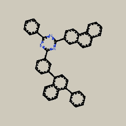 c1ccc(-c2nc(-c3cccc(-c4ccc(-c5ccccc5)c5ccccc45)c3)nc(-c3ccc4c(ccc5ccccc54)c3)n2)cc1